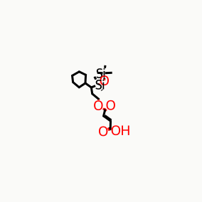 C[Si](C)(C)O[Si](C)(C)C(CCOC(=O)C=CC(=O)O)C1CCCCC1